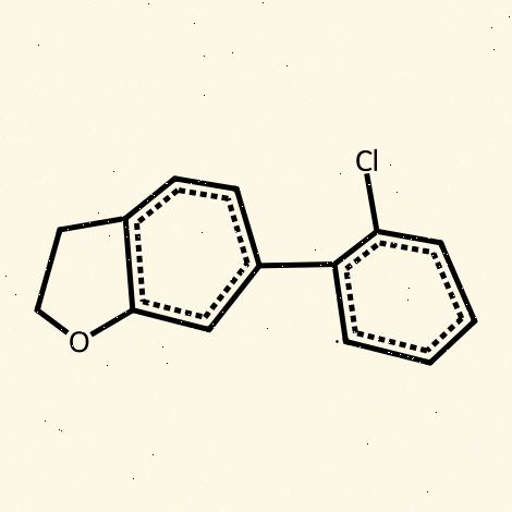 Clc1ccc[c]c1-c1ccc2c(c1)OCC2